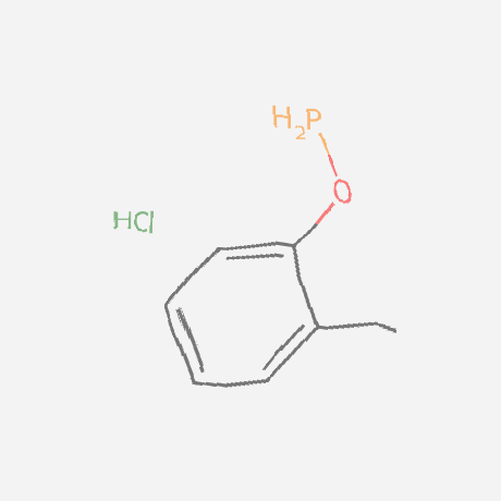 Cc1ccccc1OP.Cl